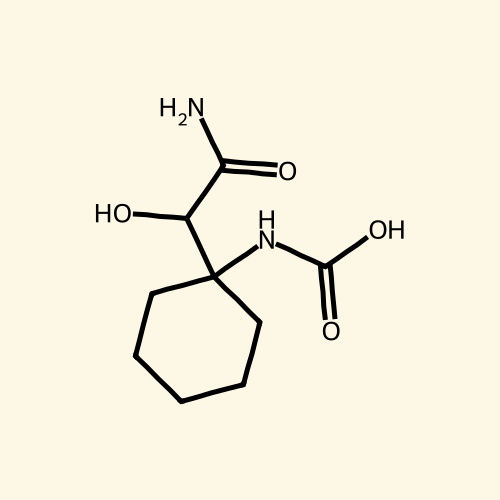 NC(=O)C(O)C1(NC(=O)O)CCCCC1